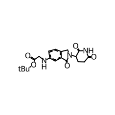 CC(C)(C)OC(=O)CNc1ccc2c(c1)C(=O)N(C1CCC(=O)NC1=O)C2